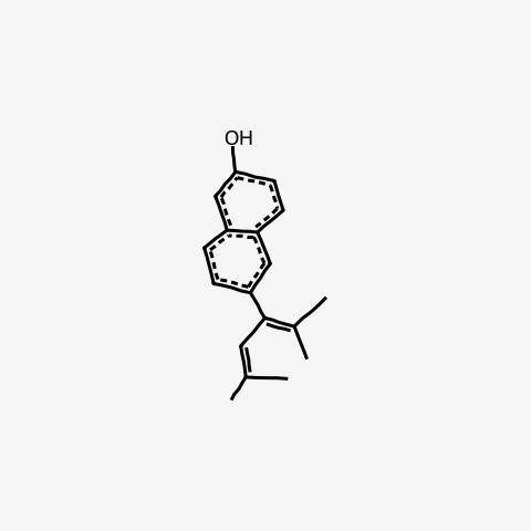 CC(C)=CC(=C(C)C)c1ccc2cc(O)ccc2c1